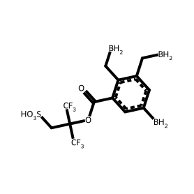 BCc1cc(B)cc(C(=O)OC(CS(=O)(=O)O)(C(F)(F)F)C(F)(F)F)c1CB